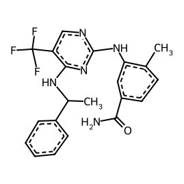 Cc1ccc(C(N)=O)cc1Nc1ncc(C(F)(F)F)c(NC(C)c2ccccc2)n1